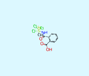 C[SH](Cl)(Cl)(Cl)NC(=O)c1ccccc1C(=O)O